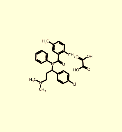 Cc1ccc(C)c(C(=O)N(c2ccccc2)C(CCN(C)C)c2ccc(Cl)cc2)c1.O=C(O)C(=O)O